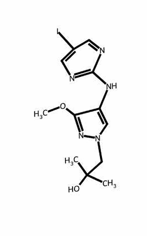 COc1nn(CC(C)(C)O)cc1Nc1ncc(I)cn1